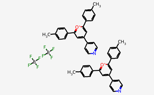 Cc1ccc(-c2cc(-c3ccncc3)cc(-c3ccc(C)cc3)[o+]2)cc1.Cc1ccc(-c2cc(-c3ccncc3)cc(-c3ccc(C)cc3)[o+]2)cc1.F[B-](F)(F)F.F[B-](F)(F)F